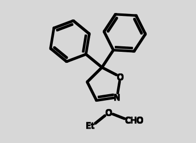 C1=NOC(c2ccccc2)(c2ccccc2)C1.CCOC=O